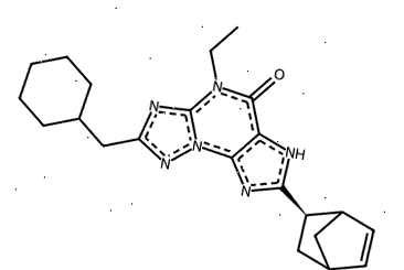 CCn1c(=O)c2[nH]c([C@@H]3CC4C=CC3C4)nc2n2nc(CC3CCCCC3)nc12